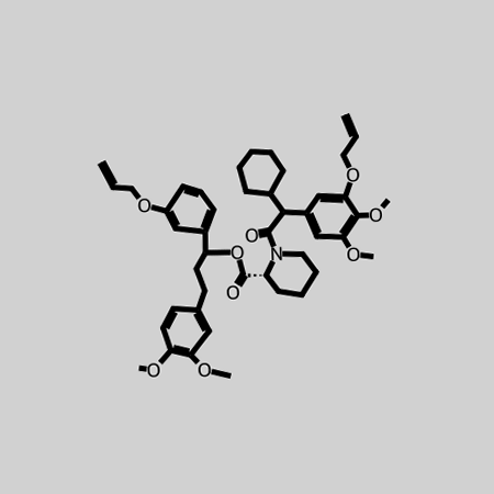 C=CCOc1cccc(C(CCc2ccc(OC)c(OC)c2)OC(=O)[C@H]2CCCCN2C(=O)C(c2cc(OC)c(OC)c(OCC=C)c2)C2CCCCC2)c1